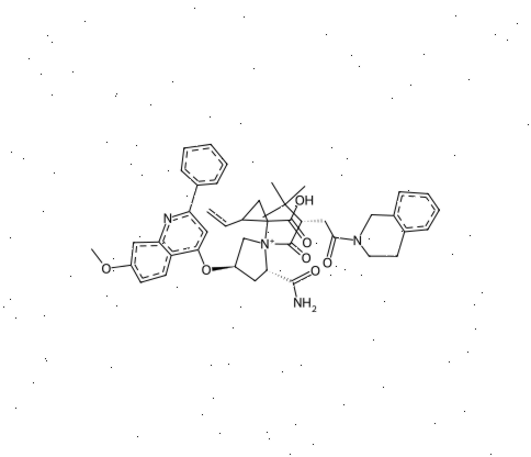 C=CC1CC1(C(=O)O)[N+]1(C(=O)[C@@H](CC(=O)N2CCc3ccccc3C2)C(C)(C)C)C[C@H](Oc2cc(-c3ccccc3)nc3cc(OC)ccc23)C[C@H]1C(N)=O